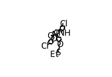 CCSCCCOc1ccc(C2c3[nH]c4ccc(Cl)cc4c3CCN2C(=O)Oc2ccc(Cl)cc2)cc1